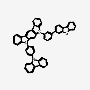 c1cc(-c2ccc3c(c2)sc2ccccc23)cc(-n2c3ccccc3c3cc4c5ccccc5n(-c5ccc(-n6c7ccccc7c7ccccc76)cc5)c4cc32)c1